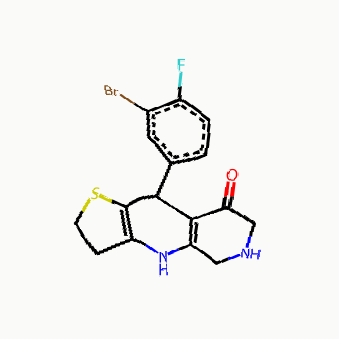 O=C1CNCC2=C1C(c1ccc(F)c(Br)c1)C1=C(CCS1)N2